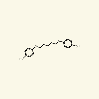 Oc1ccc(SCCCCCSc2ccc(O)cc2)cc1